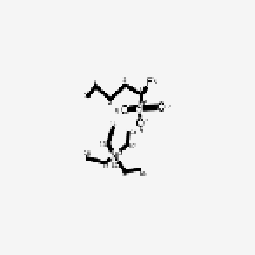 CCCCC(F)S(=O)(=O)[O-].CC[N+](CC)(CC)CC